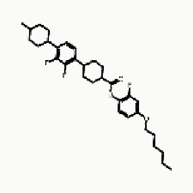 CCCCCCOc1ccc(OC(=O)C2CCC(c3ccc(C4CCC(C)CC4)c(F)c3F)CC2)c(F)c1